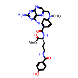 COC(=O)[C@H](CCCNC(=O)c1ccc(O)cc1)NC(=O)c1ccc(N(C=O)Cc2cnc3nc(N)nc(N)c3n2)cc1